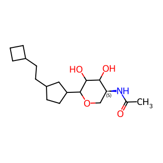 CC(=O)N[C@H]1COC(C2CCC(CCC3CCC3)C2)C(O)C1O